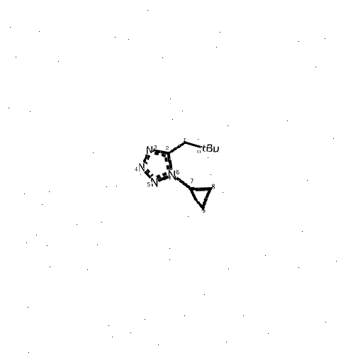 CC(C)(C)Cc1nnnn1C1CC1